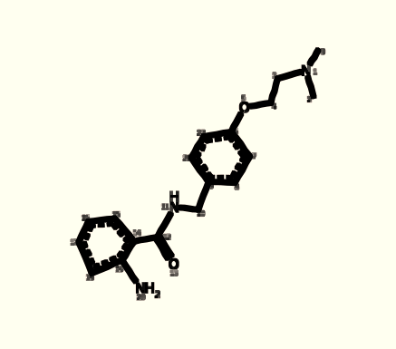 CN(C)CCOc1ccc(CNC(=O)c2ccccc2N)cc1